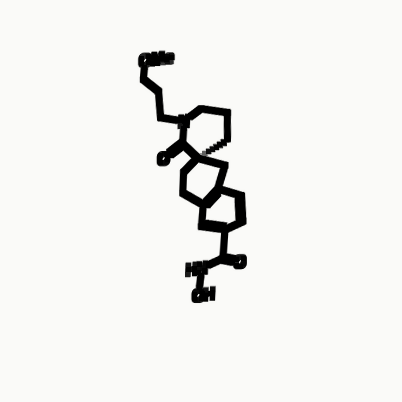 COCCCN1CCC[C@]2(CCc3cc(C(=O)NO)ccc3C2)C1=O